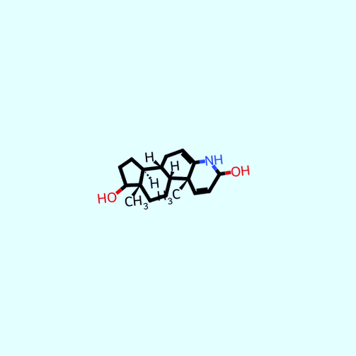 C[C@]12C=CC(O)NC1=CC[C@@H]1[C@H]2CC[C@]2(C)C(O)CC[C@@H]12